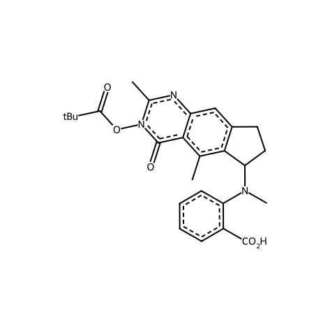 Cc1c2c(cc3nc(C)n(OC(=O)C(C)(C)C)c(=O)c13)CCC2N(C)c1ccccc1C(=O)O